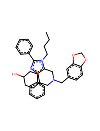 CCCCn1c(-c2ccccc2)nc(-c2ccccc2)c1CN(Cc1ccc2c(c1)OCO2)CC1CCC(O)CC1